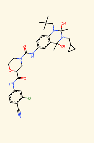 CC(C)(C)CN1c2ccc(NC(=O)N3CCOC(C(=O)Nc4ccc(C#N)c(Cl)c4)C3)cc2C(C)(O)N(CC2CC2)C1(C)O